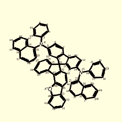 c1ccc(N(c2ccc3c(c2)C2(c4cc(N(c5ccccc5)c5cccc6ccccc56)ccc4-3)c3ccccc3-c3c2ccc2c3oc3ccccc32)c2cccc3ccccc23)cc1